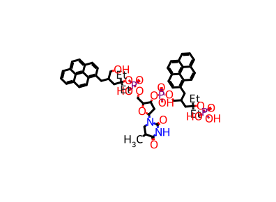 CCC(CC)(CC(COP(=O)(O)OC1CC(N2CC(C)C(=O)NC2=O)OC1COP(=O)(O)OC(CC)(CC)CC(CO)Cc1ccc2ccc3cccc4ccc1c2c34)Cc1ccc2ccc3cccc4ccc1c2c34)OP(=O)(O)O